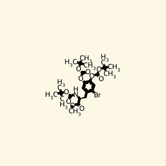 COC(=O)[C@H](Cc1cc(OC(=O)OC(C)(C)C)c(OC(=O)OC(C)(C)C)cc1Br)NC(=O)OC(C)(C)C